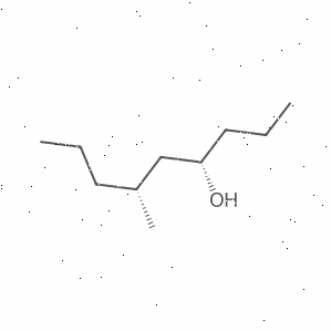 CCC[C@@H](C)C[C@@H](O)CCC